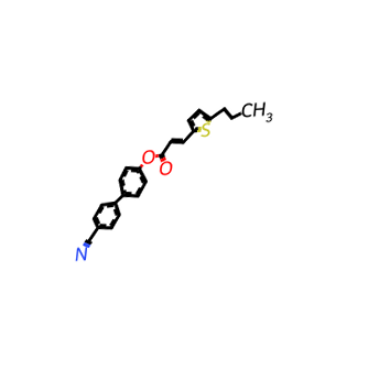 CCCc1ccc(C=CC(=O)Oc2ccc(-c3ccc(C#N)cc3)cc2)s1